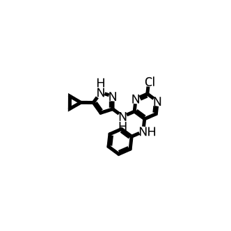 Clc1ncc(Nc2ccccc2)c(Nc2cc(C3CC3)[nH]n2)n1